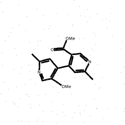 COC(=O)c1cnc(C)cc1-c1cc(C)ncc1OC